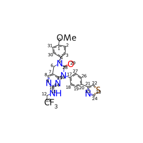 COc1ccc(N2Cc3cnc(NCC(F)(F)F)nc3N(c3ccc(-c4cscn4)cc3)C2=O)cc1